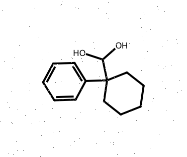 OC(O)C1(c2ccccc2)CCCCC1